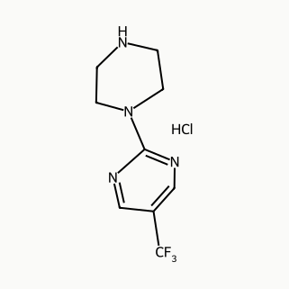 Cl.FC(F)(F)c1cnc(N2CCNCC2)nc1